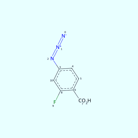 [N-]=[N+]=Nc1ccc(C(=O)O)c(F)c1